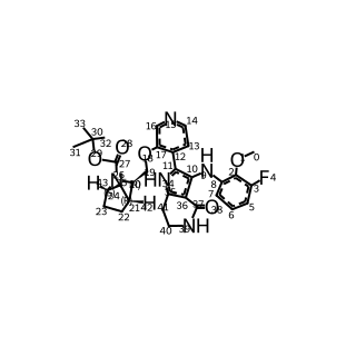 COc1c(F)cccc1Nc1c(-c2ccncc2OC[C@H]2[C@@H]3CC[C@@H](C3)N2C(=O)OC(C)(C)C)[nH]c2c1C(=O)NCC2